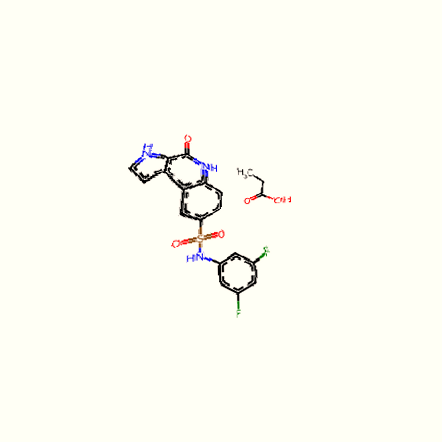 CCC(=O)O.O=c1[nH]c2ccc(S(=O)(=O)Nc3cc(F)cc(F)c3)cc2c2cc[nH]c12